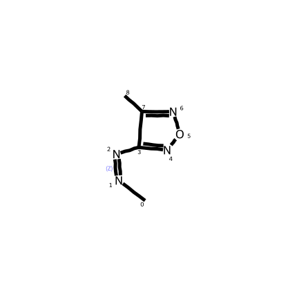 C/N=N\c1nonc1C